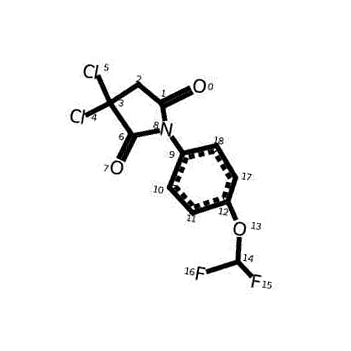 O=C1CC(Cl)(Cl)C(=O)N1c1ccc(OC(F)F)cc1